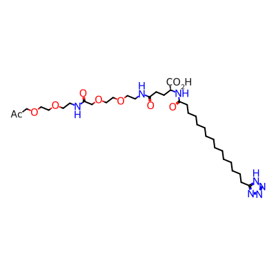 CC(=O)COCCOCCNC(=O)COCCOCCNC(=O)CC[C@H](NC(=O)CCCCCCCCCCCCCCc1nnn[nH]1)C(=O)O